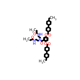 C=CC(=O)NCCN(CCNC(=O)C=C)C(=O)c1cc(OC(=O)C2CCC(C3CCC(CC)CC3)CC2)ccc1OC(=O)C1CCC(C2CCC(CC)CC2)CC1